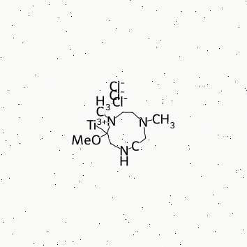 CO[C]1([Ti+3])CNCCN(C)CCN1C.[Cl-].[Cl-].[Cl-]